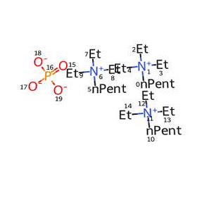 CCCCC[N+](CC)(CC)CC.CCCCC[N+](CC)(CC)CC.CCCCC[N+](CC)(CC)CC.O=P([O-])([O-])[O-]